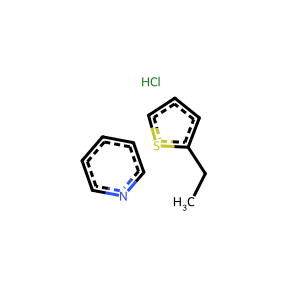 CCc1cccs1.Cl.c1ccncc1